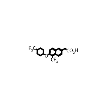 O=C(O)Cc1ccc2c(C(F)(F)F)c(OC3CCC(C(F)(F)F)CC3)ccc2c1